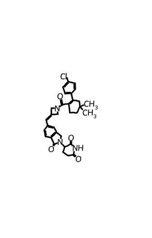 CC1(C)CCC(C(=O)N2CC(=Cc3ccc4c(c3)CN(C3CCC(=O)NC3=O)C4=O)C2)=C(c2ccc(Cl)cc2)C1